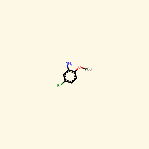 CCCCOc1ccc(Br)cc1N